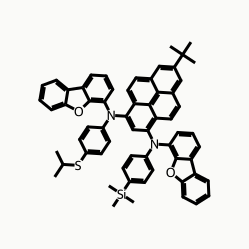 CC(C)Sc1ccc(N(c2cc(N(c3ccc([Si](C)(C)C)cc3)c3cccc4c3oc3ccccc34)c3ccc4cc(C(C)(C)C)cc5ccc2c3c54)c2cccc3c2oc2ccccc23)cc1